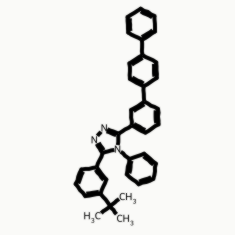 CC(C)(C)c1cccc(-c2nnc(-c3cccc(-c4ccc(-c5ccccc5)cc4)c3)n2-c2ccccc2)c1